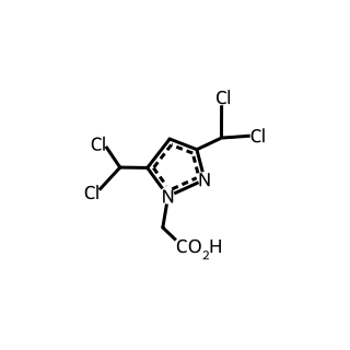 O=C(O)Cn1nc(C(Cl)Cl)cc1C(Cl)Cl